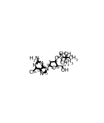 CC(C)(C)[Si](C)(C)OC1C[C@H](n2cnc3c(Cl)nc(N)nc32)O[C@@H]1CO